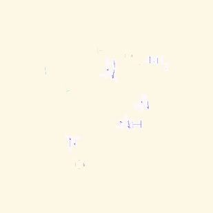 NC(=O)c1cnc(Nc2ccc(N3CCCCC3=O)cc2)cc1NCc1c(F)ccc(F)c1F